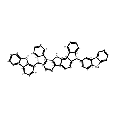 c1ccc2c(c1)oc1ccc(-n3c4ccccc4c4c5oc6c(ccc7c6c6ccccc6n7-c6cccc7c6oc6ccccc67)c5ccc43)cc12